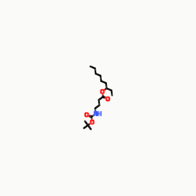 CCCCCCC(CC)OC(=O)CCCNC(=O)OC(C)(C)C